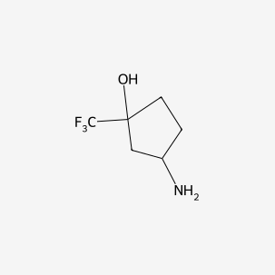 NC1CCC(O)(C(F)(F)F)C1